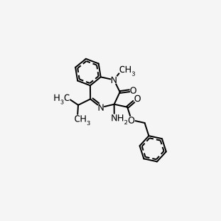 CC(C)C1=NC(N)(C(=O)OCc2ccccc2)C(=O)N(C)c2ccccc21